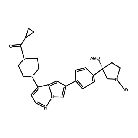 CO[C@]1(c2ccc(-c3cc4c(N5CCN(C(=O)C6CC6)CC5)ccnn4c3)cc2)CCN(C(C)C)C1